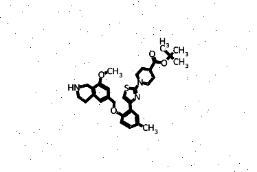 COc1cc(COc2ccc(C)cc2-c2csc(N3CCC(C(=O)OC(C)(C)C)CC3)n2)cc2c1CNCC2